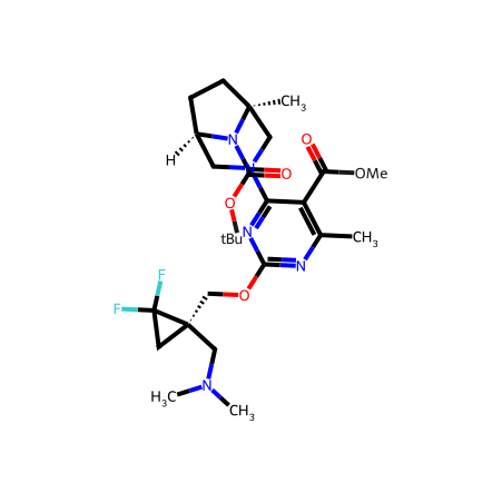 COC(=O)c1c(C)nc(OC[C@]2(CN(C)C)CC2(F)F)nc1N1C[C@H]2CC[C@@](C)(C1)N2C(=O)OC(C)(C)C